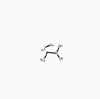 CCN(O)O.CCl